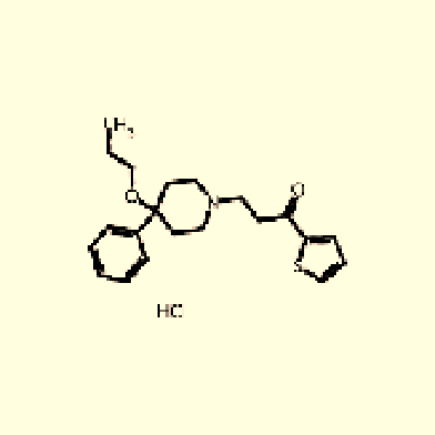 CCCOC1(c2ccccc2)CCN(CCC(=O)c2cccs2)CC1.Cl